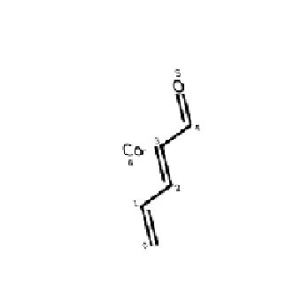 C=CC=CC=O.[Co]